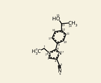 CCn1cc(C#N)nc1-c1ccc(C(C)O)cc1